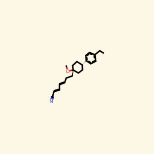 CCc1ccc([C@H]2CC[C@@](CCC=CC=CC#N)(OC)CC2)cc1